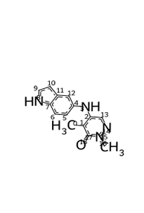 Cc1c(Nc2ccc3[nH]ccc3c2)cnn(C)c1=O